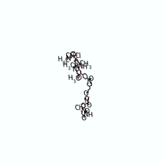 COc1cc2nc(C)nc(N[C@H](C)c3cc(-c4c(Cl)cccc4CN(C)C)cs3)c2cc1C1CCC(C(=O)N2CCC(CCCOC3CCN(C(=O)c4ccc(Cl)c(N5CCC(=O)NC5=O)c4)CC3)CC2)CC1